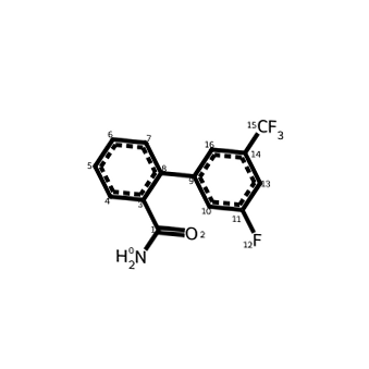 NC(=O)c1ccccc1-c1cc(F)cc(C(F)(F)F)c1